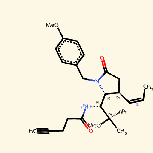 C#CCCC(=O)N[C@H]([C@H]1[C@H](/C=C\C)CC(=O)N1Cc1ccc(OC)cc1)[C@](C)(CCC)OC